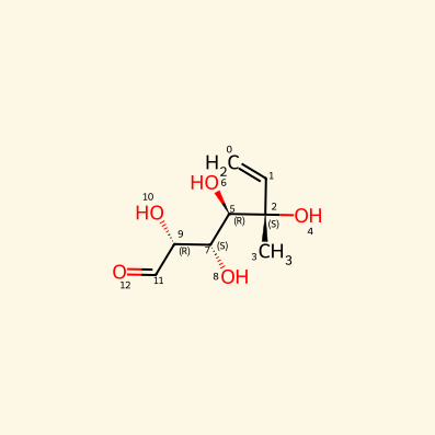 C=C[C@](C)(O)[C@H](O)[C@H](O)[C@@H](O)C=O